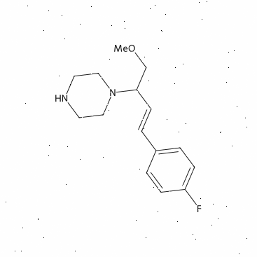 COCC(/C=C/c1ccc(F)cc1)N1CCNCC1